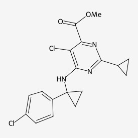 COC(=O)c1nc(C2CC2)nc(NC2(c3ccc(Cl)cc3)CC2)c1Cl